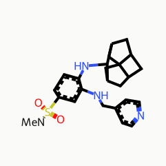 CNS(=O)(=O)c1ccc(NC2C3CC4CC5CC2CC45C3)c(NCc2ccncc2)c1